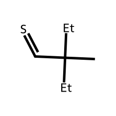 CCC(C)(C=S)CC